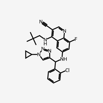 CC(C)(C)CNc1c(C#N)cnc2c(F)cc(NC(c3cn(C4CC4)nn3)c3ccccc3Cl)cc12